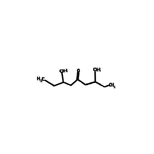 CCC(O)CC(=O)CC(O)CC